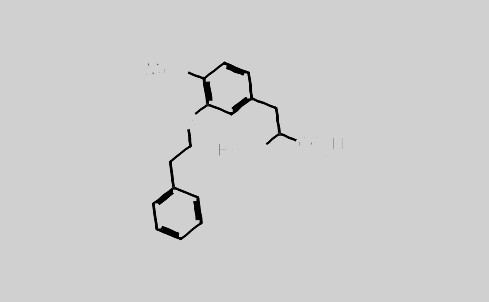 COc1ccc(CC(C(=O)O)C(=O)O)cc1OCCc1ccccc1